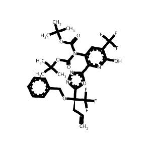 C=CC[C@@](OCc1ccccc1)(c1nnc(-c2nc(O)c(C(F)(F)F)cc2N(C(=O)OC(C)(C)C)C(=O)OC(C)(C)C)o1)C(F)(F)F